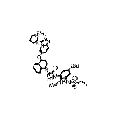 COc1c(NC(=O)N[C@H]2CC[C@@H](Oc3ccc4nnc([C@H]5CCCN5C)n4c3)c3ccccc32)cc(C(C)(C)C)cc1NS(C)(=O)=O